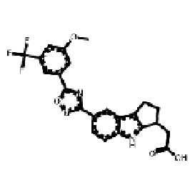 COc1cc(-c2nc(-c3ccc4[nH]c5c(c4c3)CCC5CC(=O)O)no2)cc(C(F)(F)F)c1